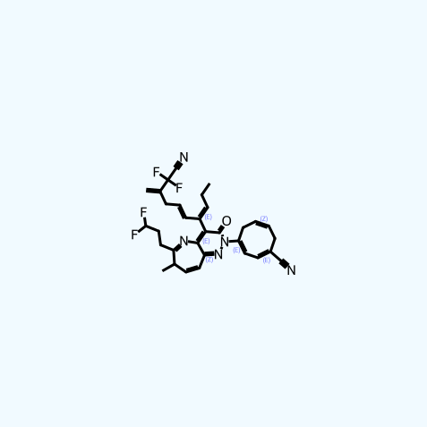 C=C(CC=CC(=C\CC)/C(C=O)=C1\N=C(CCC(F)F)C(C)C=C\C1=N\N(C)/C1=C/C=C(/C#N)C/C=C\C1)C(F)(F)C#N